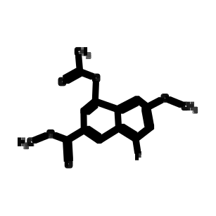 COC(=O)c1cc(OC(C)=O)c2cc(OC)cc(F)c2c1